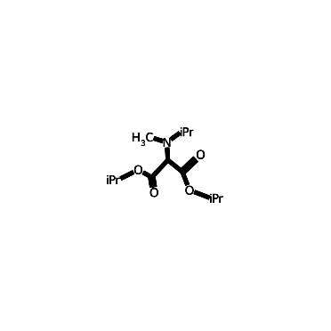 CC(C)OC(=O)C(C(=O)OC(C)C)N(C)C(C)C